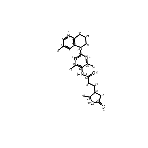 Cc1cnc2c(c1)N(c1nc(C)c(NC(=O)CCC3CC(=O)OC3C)c(C)n1)CCC2